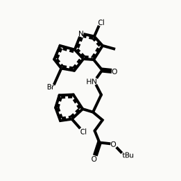 Cc1c(Cl)nc2ccc(Br)cc2c1C(=O)NCC(CCC(=O)OC(C)(C)C)c1ccccc1Cl